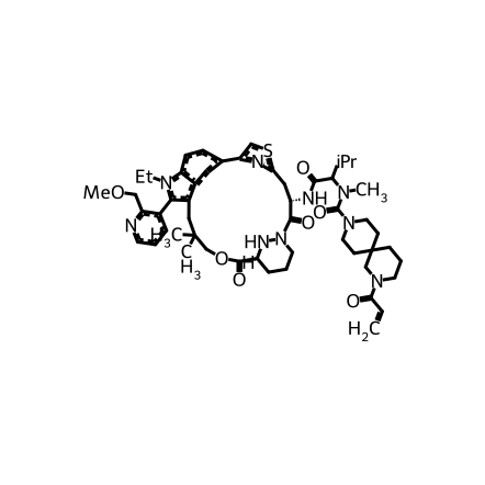 C=CC(=O)N1CCCC2(CCN(C(=O)N(C)C(C(=O)N[C@H]3Cc4nc(cs4)-c4ccc5c(c4)c(c(-c4cccnc4COC)n5CC)CC(C)(C)COC(=O)[C@@H]4CCCN(N4)C3=O)C(C)C)CC2)C1